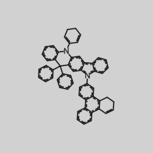 C1=CC(N2c3ccccc3C(c3ccccc3)(c3ccccc3)c3cc4c(cc32)c2ccccc2n4-c2ccc3c(c2)c2c(c4ccccc43)C=CCC2)=CCC1